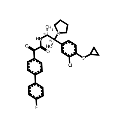 C[C@@H](NC(=O)C(=O)c1ccc(-c2ccc(F)cc2)cc1)[C@](O)(c1ccc(SC2CC2)c(Cl)c1)N1CCCC1